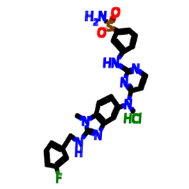 CN(c1ccc2c(c1)nc(NCc1cccc(F)c1)n2C)c1ccnc(Nc2cccc(S(N)(=O)=O)c2)n1.Cl